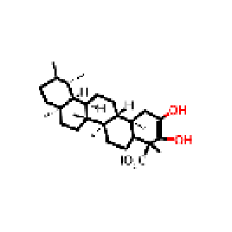 C[C@@H]1[C@H]2[C@H]3CC[C@@H]4[C@@]5(C)CC(O)=C(O)C(C)(C(=O)O)C5CC[C@@]4(C)[C@]3(C)CC[C@@]2(C)CC[C@H]1C